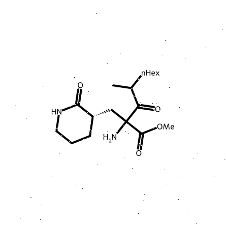 CCCCCCC(C)C(=O)C(N)(C[C@@H]1CCCNC1=O)C(=O)OC